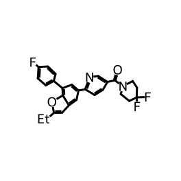 CCc1cc2cc(-c3ccc(C(=O)N4CCC(F)(F)CC4)cn3)cc(-c3ccc(F)cc3)c2o1